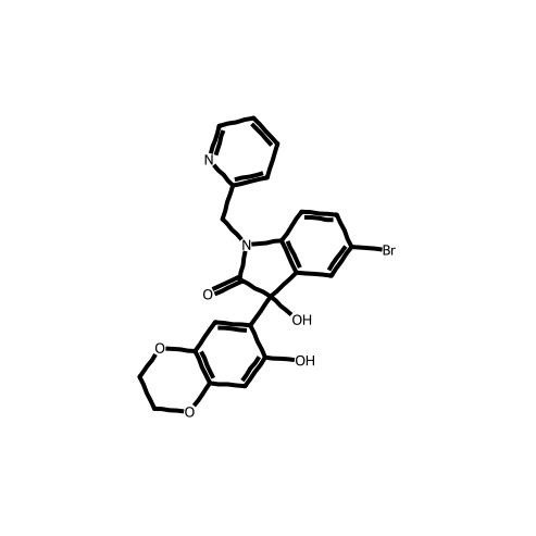 O=C1N(Cc2ccccn2)c2ccc(Br)cc2C1(O)c1cc2c(cc1O)OCCO2